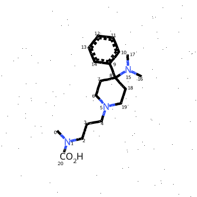 CN(CCCN1CCC(c2ccccc2)(N(C)C)CC1)C(=O)O